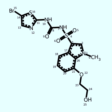 Cn1cc(S(=O)(=O)NC(=O)Nc2ncc(Br)s2)c2cccc(OCCO)c21